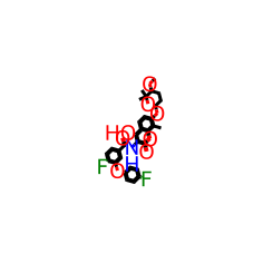 COC1CCC(Oc2ccc3c(O)c(NC(=O)c4ccc(F)c(Oc5ccc(F)cc5)c4)c(=O)oc3c2C)OC1(C)C